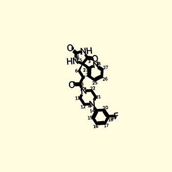 O=C1NC(=O)[C@](CCC(=O)N2CCN(c3cccc(F)c3)CC2)(c2ccccn2)N1